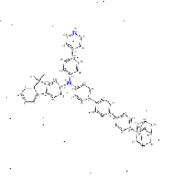 CC1(C)c2ccccc2-c2ccc(N(c3ccc(-c4ccncc4)cc3)c3ccc(-c4ccc(-c5ccc(C67CC8CC(CC(C8)C6)C7)cc5)cc4)cc3)cc21